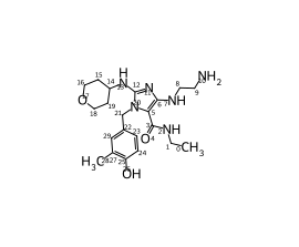 CCNC(=O)c1c(NCCN)nc(NC2CCOCC2)n1Cc1ccc(O)c(C)c1